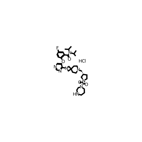 CC(C)N(C(=O)c1cc(F)ccc1Oc1cncnc1N1CC2(CCN(C[C@@H]3CCN(S(=O)(=O)N4CCCNCC4)C3)CC2)C1)C(C)C.Cl